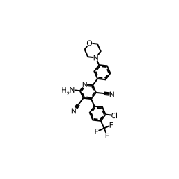 N#Cc1c(N)nc(-c2cccc(N3CCOCC3)c2)c(C#N)c1-c1ccc(C(F)(F)F)c(Cl)c1